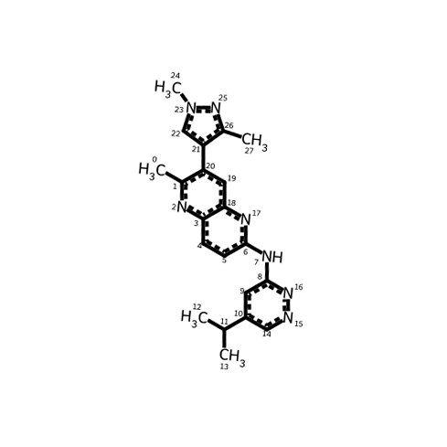 Cc1nc2ccc(Nc3cc(C(C)C)cnn3)nc2cc1-c1cn(C)nc1C